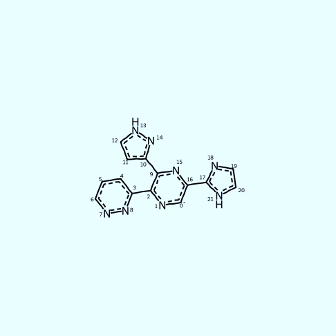 [c]1nc(-c2cccnn2)c(-c2cc[nH]n2)nc1-c1ncc[nH]1